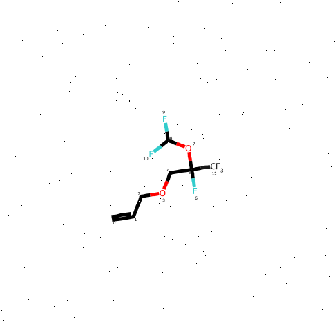 C=CCOCC(F)(OC(F)F)C(F)(F)F